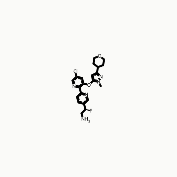 Cn1nc(C2CCOCC2)cc1Oc1cc(Cl)cnc1-c1ccc([C@@H](F)CN)cn1